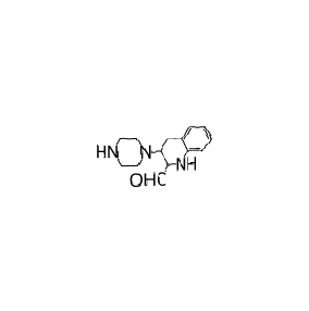 O=CC1Nc2ccccc2CC1N1CCNCC1